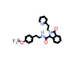 O=C(NCCc1ccc(OC(F)(F)F)cc1)C1c2ccccc2C(=O)N1CCc1ccccn1